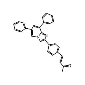 CC(=O)C=Cc1ccc(-c2cn3cc(-c4ccccc4)cc(-c4ccccc4)c3n2)cc1